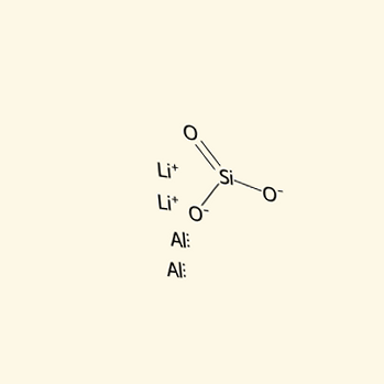 O=[Si]([O-])[O-].[Al].[Al].[Li+].[Li+]